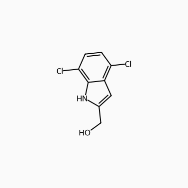 OCc1cc2c(Cl)ccc(Cl)c2[nH]1